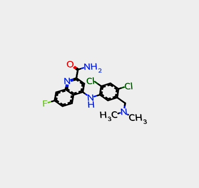 CN(C)Cc1cc(Nc2cc(C(N)=O)nc3cc(F)ccc23)c(Cl)cc1Cl